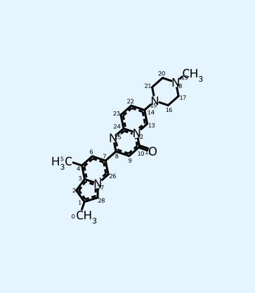 Cc1cc2c(C)cc(-c3cc(=O)n4cc(N5CCN(C)CC5)ccc4n3)cn2c1